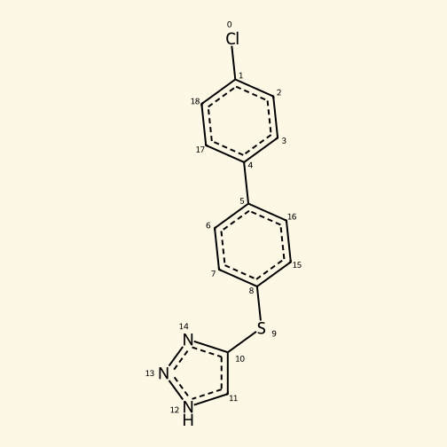 Clc1ccc(-c2ccc(Sc3c[nH]nn3)cc2)cc1